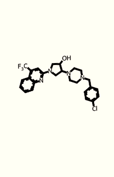 OC1CN(c2cc(C(F)(F)F)c3ccccc3n2)CC1N1CCN(Cc2ccc(Cl)cc2)CC1